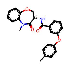 Cc1ccc(Oc2cccc(C(=O)N[C@H]3COc4ccccc4N(C)C3=O)c2)cc1